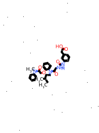 CCC(C)CCN(C(=O)CNC(=O)Nc1cccc(CC(=O)O)c1)c1ccccc1OCC(=O)N(C)c1ccccc1